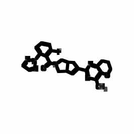 Cc1nc(C2=CC3CN(C(=O)c4c(F)cccc4-n4nccn4)CC3C2)nc2c1OCCC2